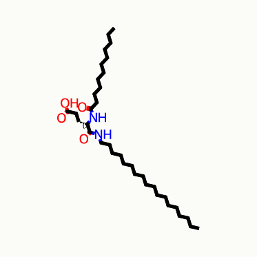 CCCCCCCCCCCCCCCCCCNC(=O)[C@H](CCC(=O)O)NC(=O)CCCCCCCCCCC